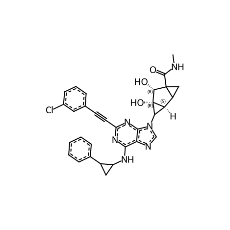 CNC(=O)C12CC1[C@H]1C(n3cnc4c(NC5CC5c5ccccc5)nc(C#Cc5cccc(Cl)c5)nc43)[C@@]1(O)[C@@H]2O